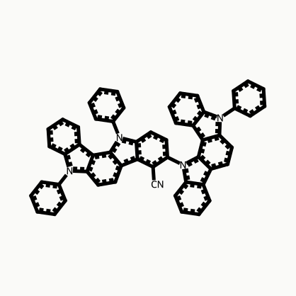 N#Cc1c(-n2c3ccccc3c3ccc4c(c5ccccc5n4-c4ccccc4)c32)ccc2c1c1ccc3c(c4ccccc4n3-c3ccccc3)c1n2-c1ccccc1